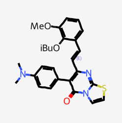 COc1cccc(/C=C/c2nc3sccn3c(=O)c2-c2ccc(N(C)C)cc2)c1OCC(C)C